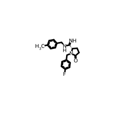 Cc1ccc(CNC(=N)[C@@H]2CCC(=O)N2Cc2ccc(F)cc2)cc1